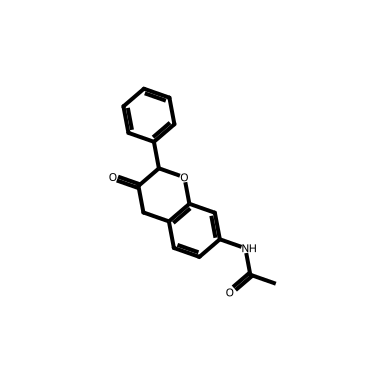 CC(=O)Nc1ccc2c(c1)OC(c1ccccc1)C(=O)C2